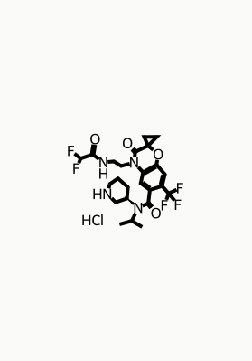 CC(C)N(C(=O)c1cc2c(cc1C(F)(F)F)OC1(CC1)C(=O)N2CCNC(=O)C(F)F)[C@@H]1CCCNC1.Cl